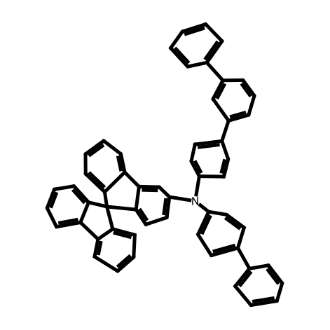 c1ccc(-c2ccc(N(c3ccc(-c4cccc(-c5ccccc5)c4)cc3)c3ccc4c(c3)-c3ccccc3C43c4ccccc4-c4ccccc43)cc2)cc1